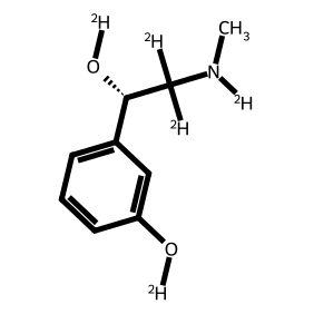 [2H]Oc1cccc([C@H](O[2H])C([2H])([2H])N([2H])C)c1